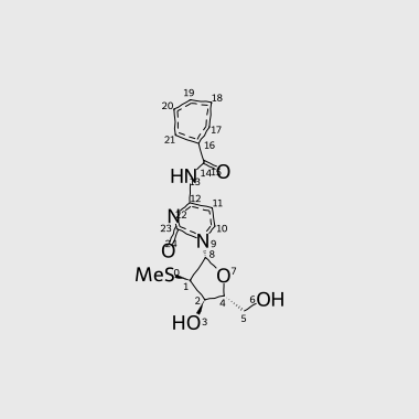 CS[C@@H]1[C@H](O)[C@@H](CO)O[C@H]1n1ccc(NC(=O)c2ccccc2)nc1=O